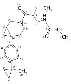 CCC(CNC(=O)OC)C(=O)N1CCC2(c3ccc(C4(C)CC4)cc3)CC2C1